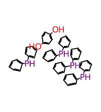 Oc1ccc(O)cc1.c1ccc(Pc2ccccc2)cc1.c1ccc(Pc2ccccc2)cc1.c1ccc(Pc2ccccc2)cc1.c1ccc(Pc2ccccc2)cc1